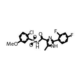 COc1ccc(Cl)c(S(=O)(=O)NC(=O)c2nc(-c3ccc(F)cc3F)[nH]c2C)c1